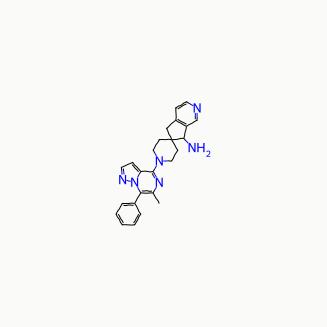 Cc1nc(N2CCC3(CC2)Cc2ccncc2C3N)c2ccnn2c1-c1ccccc1